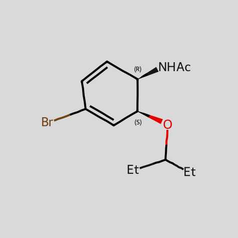 CCC(CC)O[C@H]1C=C(Br)C=C[C@H]1NC(C)=O